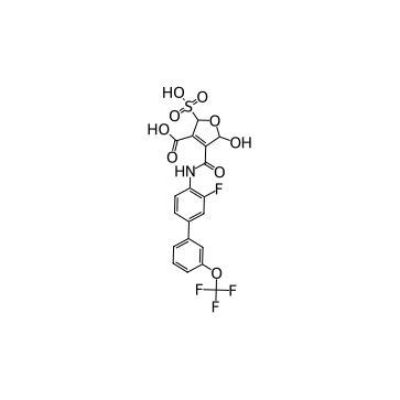 O=C(O)C1=C(C(=O)Nc2ccc(-c3cccc(OC(F)(F)F)c3)cc2F)C(O)OC1S(=O)(=O)O